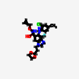 Cc1ccc(Nc2c(C(O)NOCC3CC3)cc3c(ncn3CCC3OCCO3)c2F)c(Cl)c1